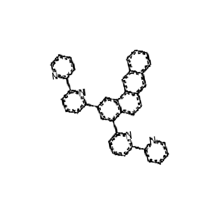 c1ccc(-c2cccc(-c3cc(-c4cccc(-c5ccccn5)n4)c4ccc5cc6ccccc6cc5c4c3)n2)nc1